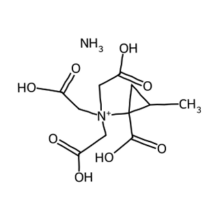 CC1CC1(C(=O)O)[N+](CC(=O)O)(CC(=O)O)CC(=O)O.N